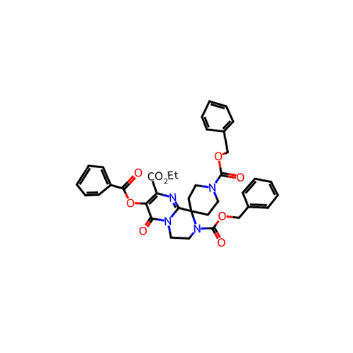 CCOC(=O)c1nc2n(c(=O)c1OC(=O)c1ccccc1)CCN(C(=O)OCc1ccccc1)C21CCN(C(=O)OCc2ccccc2)CC1